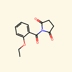 CCOc1ccccc1C(=O)N1C(=O)CCC1=O